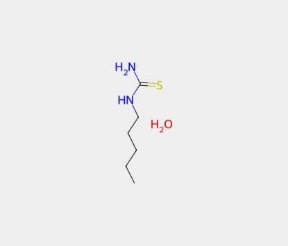 CCCCCNC(N)=S.O